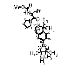 COC(=O)N[C@H](C(=O)N1CCC[C@H]1C1=Nc2cc(B3OC(C)(C)C(C)(C)O3)ccc2C(C)(C)N1)C(C)C